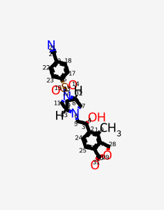 Cc1c(C(O)CN2C[C@@H]3C[C@H]2CN3S(=O)(=O)c2ccc(C#N)cc2)ccc2c1COC2=O